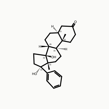 C[C@]12CCC(=O)C[C@@H]1CC[C@@H]1[C@@H]2CC[C@]2(C)[C@@](O)(c3ccccc3)CC[C@]12O